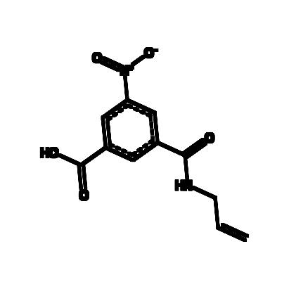 C=CCNC(=O)c1cc(C(=O)O)cc([N+](=O)[O-])c1